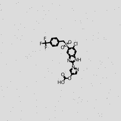 O=C(O)Oc1cnn(-c2nc3cc(S(=O)(=O)Cc4ccc(C(F)(F)F)cc4)c(Cl)cc3[nH]2)c1